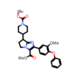 COC(=O)c1c(-c2ccc(Oc3ccccc3)c(OC)c2)nc2n1CCC2C1CCN(C(=O)OC(C)(C)C)CC1